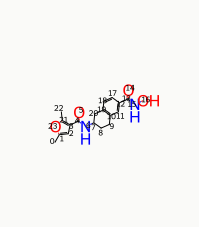 Cc1cc(C(=O)NC2CCc3cc(C(=O)NO)ccc3C2)c(C)o1